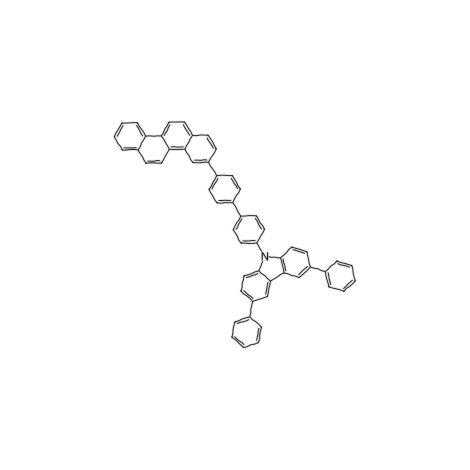 c1ccc(-c2ccc3c(c2)c2cc(-c4ccccc4)ccc2n3-c2ccc(-c3ccc(-c4ccc5ccc6c7ccccc7ccc6c5c4)cc3)cc2)cc1